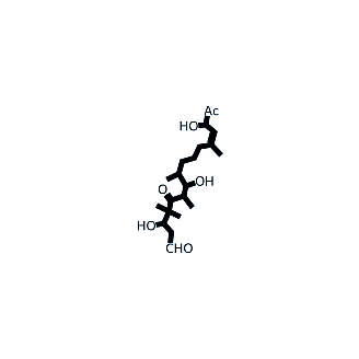 CC(=O)C(O)/C=C(/C)CCCC(C)C(O)C(C)C(=O)C(C)(C)C(O)CC=O